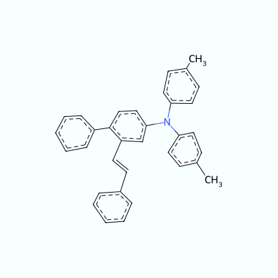 Cc1ccc(N(c2ccc(C)cc2)c2ccc(-c3ccccc3)c(C=Cc3ccccc3)c2)cc1